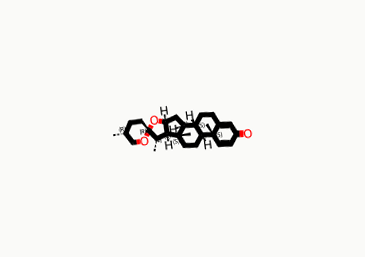 C[C@@H]1CC[C@@]2(OC1)O[C@H]1C[C@H]3[C@@H]4CCC5=CC(=O)C=C[C@]5(C)[C@H]4CC[C@]3(C)[C@H]1[C@@H]2C